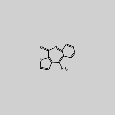 Nc1c2ccccc2nc(=O)c2sccc12